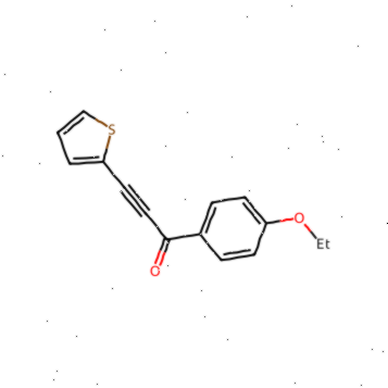 CCOc1ccc(C(=O)C#Cc2cccs2)cc1